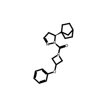 O=C(N1CC(Oc2ccccc2)C1)N1N=CC[C@H]1C12CCC(CC1)C2